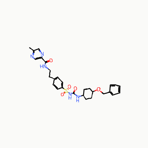 Cc1cnc(C(=O)NCCc2ccc(S(=O)(=O)NC(=O)NC3CCC(OCc4ccccc4)CC3)cc2)cn1